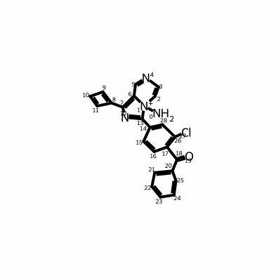 N[N+]12C=CN=CC1=C(C1=CC=C1)N=C2c1ccc(C(=O)c2ccccc2)c(Cl)c1